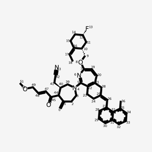 C=C1CCN(C2=NC(OC[C@H]3C[C@@H](F)CC/C3=C/C)=C=CC3=C2CC/C(=C\c2cccc4cccc(C)c24)C3)C[C@H](CC#N)C1C(=O)/C=C/COC